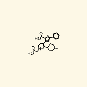 CC1CCC(C2=C(c3cc(-c4ccccc4)sc3C(=O)O)CCN(CC(=O)O)C2)CC1